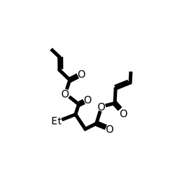 CC=CC(=O)OC(=O)CC(CC)C(=O)OC(=O)C=CC